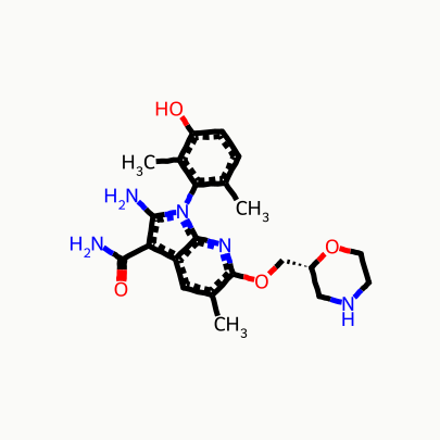 Cc1cc2c(C(N)=O)c(N)n(-c3c(C)ccc(O)c3C)c2nc1OC[C@H]1CNCCO1